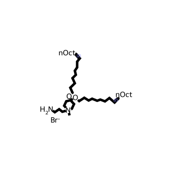 CCCCCCCC/C=C\CCCCCCCCOC1(OCCCCCCCC/C=C\CCCCCCCC)CC[N+](C)(CCCN)CC1.[Br-]